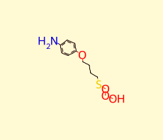 Nc1ccc(OCCCCSOOO)cc1